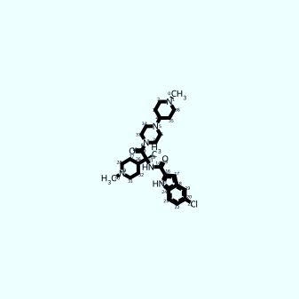 CN1CCC(N2CCN(C(=O)[C@](C)(NC(=O)c3cc4cc(Cl)ccc4[nH]3)C3CCN(C)CC3)CC2)CC1